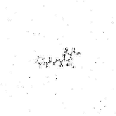 CC(C)Nc1nc(N)c(C(=O)N=CNNC2NCCS2)nc1Cl